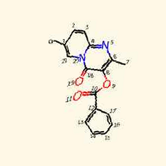 Cc1ccc2nc(C)c(OC(=O)c3ccccc3)c(=O)n2c1